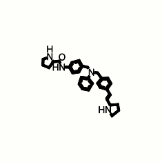 O=C(Nc1ccc(CN(Cc2ccc(C=CC3CCCN3)cc2)c2ccccc2)cc1)C1CCCN1